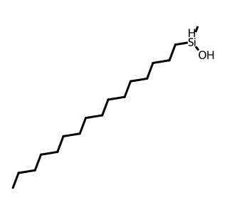 CCCCCCCCCCCCCCCC[SiH](C)O